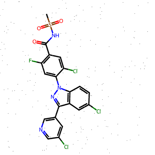 CS(=O)(=O)NC(=O)c1cc(Cl)c(-n2nc(-c3cncc(Cl)c3)c3cc(Cl)ccc32)cc1F